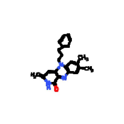 C=c1cc2c(c(=O)[nH]1)=Nc1cc(C)c(C)cc1N2CCCc1ccccc1